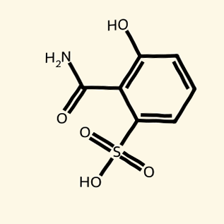 NC(=O)c1c(O)cccc1S(=O)(=O)O